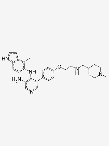 Cc1c(Nc2c(N)cncc2-c2ccc(OCCNCC3CCN(C)CC3)cc2)ccc2[nH]ccc12